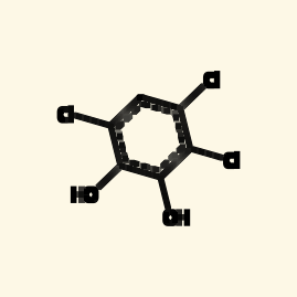 Oc1c(Cl)cc(Cl)c(Cl)c1O